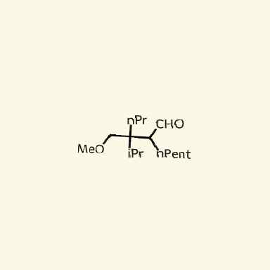 CCCCCC(C=O)C(CCC)(COC)C(C)C